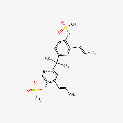 CC=Cc1cc(C(c2ccc(OS(C)(=O)=O)c(C=CC)c2)(C(F)(F)F)C(F)(F)F)ccc1OS(C)(=O)=O